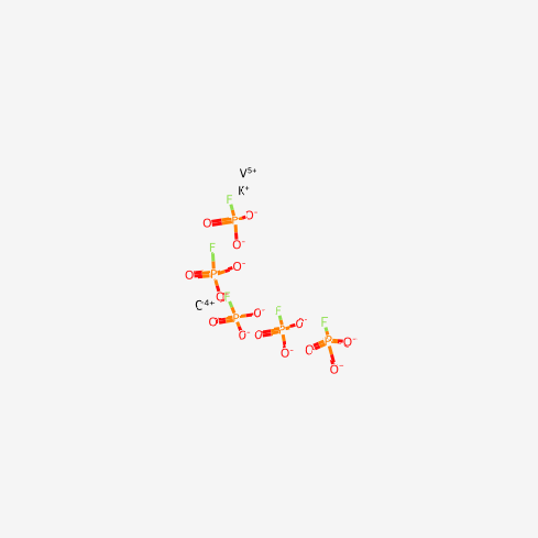 O=P([O-])([O-])F.O=P([O-])([O-])F.O=P([O-])([O-])F.O=P([O-])([O-])F.O=P([O-])([O-])F.[C+4].[K+].[V+5]